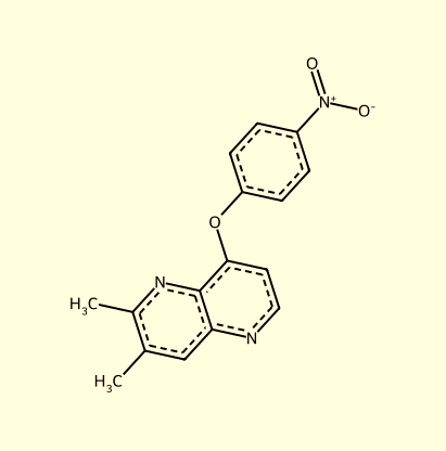 Cc1cc2nccc(Oc3ccc([N+](=O)[O-])cc3)c2nc1C